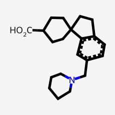 O=C(O)C1CCC2(CCc3ccc(CN4CCCCC4)cc32)CC1